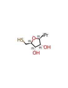 CC(C)[C@@H]1O[C@H](CS)[C@@H](O)[C@H]1O